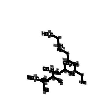 CC(=O)C[CH2][Sn][CH2]CC(C)=O.CCCCC(CC)C(=O)O.CCCCC(CC)C(=O)O.O=C(O)CS.O=C(O)CS